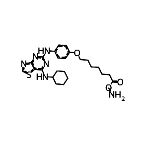 NOC(=O)CCCCCCOc1ccc(Nc2nc(NC3CCCCC3)c3scnc3n2)cc1